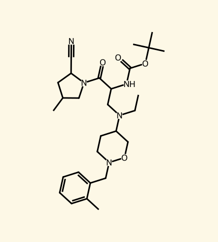 CCN(CC(NC(=O)OC(C)(C)C)C(=O)N1CC(C)CC1C#N)C1CCN(Cc2ccccc2C)OC1